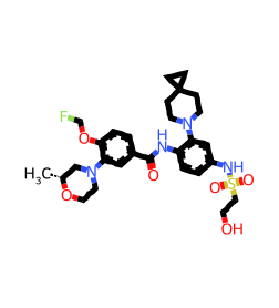 C[C@@H]1CN(c2cc(C(=O)Nc3ccc(NS(=O)(=O)CCO)cc3N3CCC4(CC3)CC4)ccc2OCF)CCO1